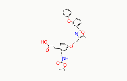 Cc1oc(-c2cccc(Oc3ccccc3)c2)nc1CCOc1ccc(CCC(=O)O)c(CNC(=O)OC(C)C)c1